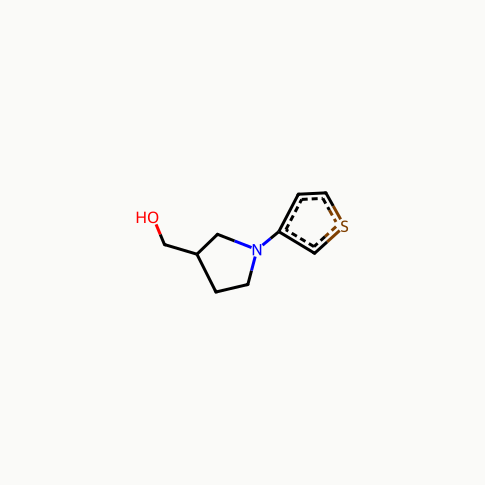 OCC1CCN(c2ccsc2)C1